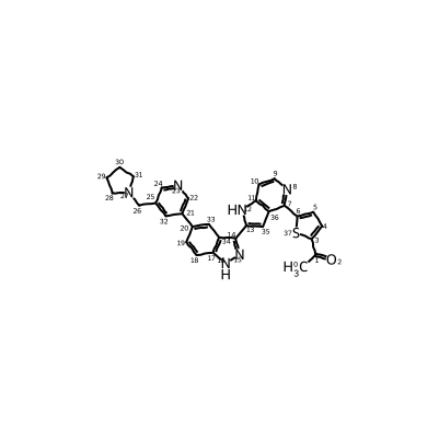 CC(=O)c1ccc(-c2nccc3[nH]c(-c4n[nH]c5ccc(-c6cncc(CN7CCCC7)c6)cc45)cc23)s1